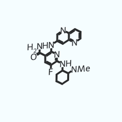 CNC1CCCCC1Nc1nc(Nc2cnc3cccnc3c2)c(C(N)=O)cc1F